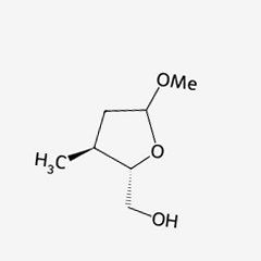 COC1C[C@H](C)[C@@H](CO)O1